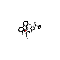 NS(=O)(=O)C[C@H]1[C@H](F)CN(C(=O)C23CC(C2)C3)[C@H]1Cc1cccc(-c2cccc(F)c2F)c1F